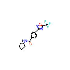 O=C(NC1CCCC1)c1ccc(-c2noc(C(F)(F)F)n2)cc1